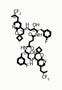 C[C@H](Cc1cnc2c(c1)[C@@H](NC[C@H](O)[C@H](Cc1cccc(F)c1)NC(=O)CCC(=O)N[C@@H](Cc1cccc(F)c1)[C@@H](O)CN[C@H]1CC3(CCC3)Oc3ncc(C[C@H](C)C(F)(F)F)cc31)CC1(CCC1)O2)C(F)(F)F